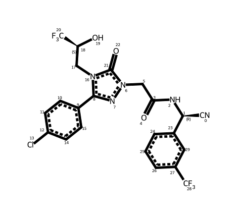 N#C[C@H](NC(=O)Cn1nc(-c2ccc(Cl)cc2)n(C[C@H](O)C(F)(F)F)c1=O)c1cccc(C(F)(F)F)c1